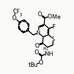 COC(=O)C1=CN(Cc2ccc(OC(F)(F)F)cc2)C2C(=O)[C@@H](NC(=O)OC(C)(C)C)CSC2=C1F